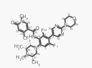 C[C@@H]1CN(c2cc(F)c(-c3cnc(N4CCOCC4)nc3)c(F)c2NC(=O)c2cn(C)c(=O)cc2C(F)(F)F)C[C@H](C)N1C